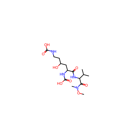 CON(C)C(=O)C(NC(=O)C(CC(O)CCNC(=O)O)NC(=O)O)C(C)C